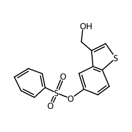 O=S(=O)(Oc1ccc2scc(CO)c2c1)c1ccccc1